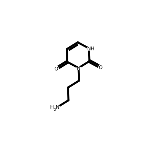 NCCCn1c(=O)cc[nH]c1=O